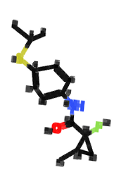 CC(C)Sc1ccc(NC(=O)C2(F)CC2C)cc1